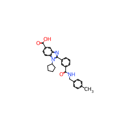 Cc1ccc(CNC(=O)c2cccc(-c3nc4cc(C(=O)O)ccc4n3C3CCCC3)c2)cc1